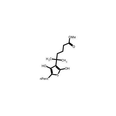 CCCCCc1sc(O)c(C(C)(C)CCCC(=O)OC)c1O